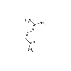 BC(=C)/C=C\C=C(N)N